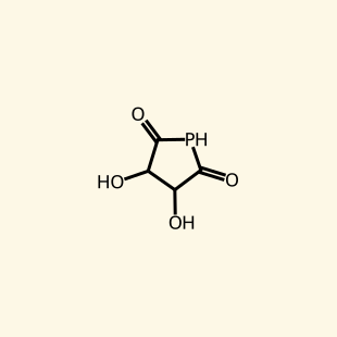 O=C1PC(=O)C(O)C1O